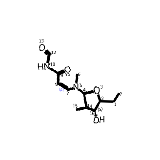 CCC1OC(N(C)/C=C\C(=O)NC=O)C(C)[C@@H]1O